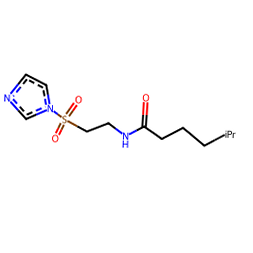 CC(C)CCCC(=O)NCCS(=O)(=O)n1ccnc1